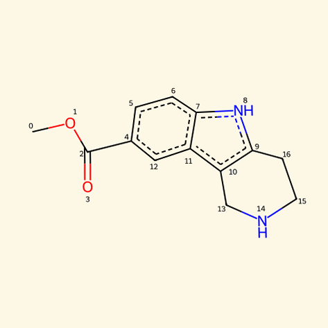 COC(=O)c1ccc2[nH]c3c(c2c1)CNCC3